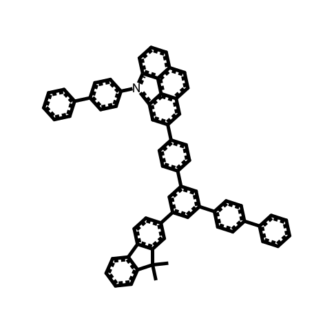 CC1(C)c2ccccc2-c2ccc(-c3cc(-c4ccc(-c5ccccc5)cc4)cc(-c4ccc(-c5cc6ccc7cccc8c7c6c(c5)n8-c5ccc(-c6ccccc6)cc5)cc4)c3)cc21